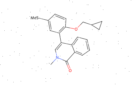 CSc1ccc(OCC2CC2)c(-c2cn(C)c(=O)c3ccccc23)c1